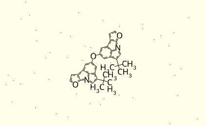 CC(C)(C)c1cn2c3occc3c3cc(Oc4cc5c(C(C)(C)C)cn6c7occc7c(c4)c56)cc1c32